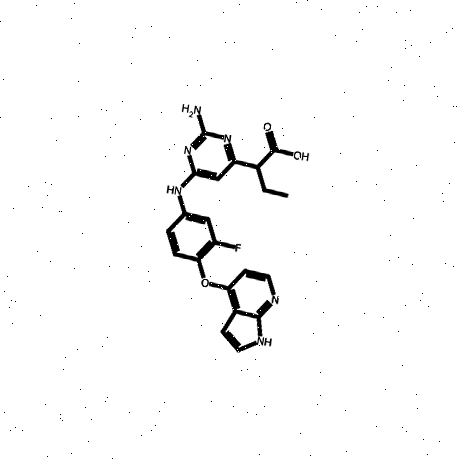 CCC(C(=O)O)c1cc(Nc2ccc(Oc3ccnc4[nH]ccc34)c(F)c2)nc(N)n1